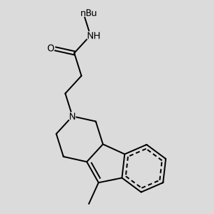 CCCCNC(=O)CCN1CCC2=C(C)c3ccccc3C2C1